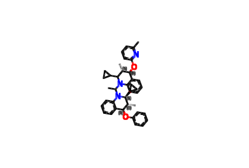 Cc1cccc(O[C@H]2c3ccccc3N(C(C)N3c4ccccc4[C@H](Oc4ccccc4)[C@@H](C)[C@@H]3C3CC3)C(C3CC3)[C@@H]2C)n1